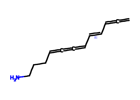 C=C=C/C=C/C=C=C=CCCCN